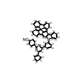 N#Cc1ccc(-c2nc(-c3ccccc3)cc(-c3cccc(-n4c5ccccc5c5cc6c(cc54)-c4ccccc4C64c5ccccc5-c5ccccc54)c3)n2)cc1